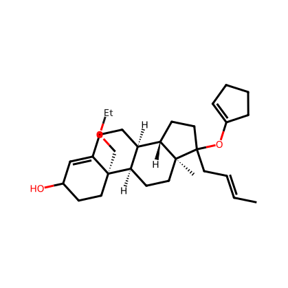 CC=CCC1(OC2=CCCC2)CC[C@H]2[C@@H]3CCC4=CC(O)CC[C@]4(COCC)[C@@H]3CC[C@@]21C